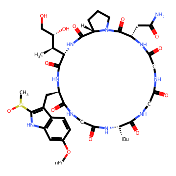 CCCOc1ccc2c(C[C@H]3NC(=O)[C@H]([C@@H](C)[C@@H](O)CO)NC(=O)[C@@H]4CCCN4C(=O)[C@H](CC(N)=O)NC(=O)CNC(=O)CNC(=O)[C@H]([C@@H](C)CC)NC(=O)CNC3=O)c([S+](C)[O-])[nH]c2c1